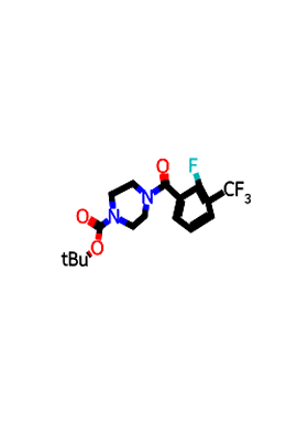 CC(C)(C)OC(=O)N1CCN(C(=O)c2cccc(C(F)(F)F)c2F)CC1